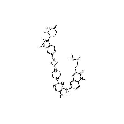 C=C(CCC1=Cc2cc(Nc3nc(N4CCN(C5CN(c6ccc7c(C8CCC(=C)NC8=C)nn(C)c7c6)C5)CC4)ncc3Cl)ccc2N(C)C1=C)NC